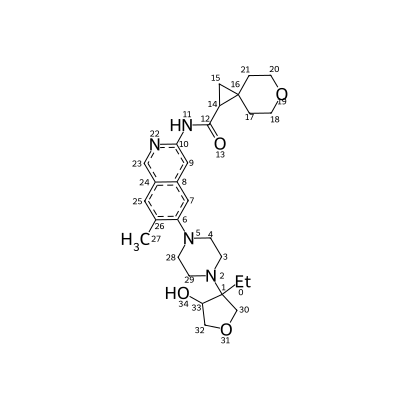 CCC1(N2CCN(c3cc4cc(NC(=O)C5CC56CCOCC6)ncc4cc3C)CC2)COCC1O